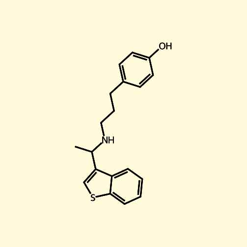 CC(NCCCc1ccc(O)cc1)c1csc2ccccc12